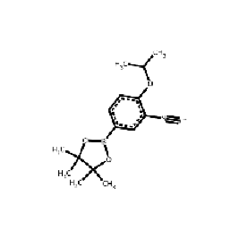 [C-]#[N+]c1cc(B2OC(C)(C)C(C)(C)O2)ccc1OC(C)C